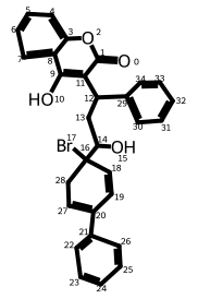 O=c1oc2ccccc2c(O)c1C(CC(O)C1(Br)C=CC(c2ccccc2)=CC1)c1ccccc1